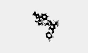 C[C@H]1CCCN(Cc2cc(C(F)(F)F)c3cn(-c4cccc(C5(c6nncn6C)CC6(CC6)C5)c4)c(=O)n3c2)C1